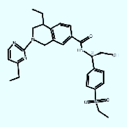 CCc1ccnc(N2Cc3cc(C(=O)N[C@@H](CO)c4ccc(S(=O)(=O)CC)cc4)ccc3C(CC)C2)n1